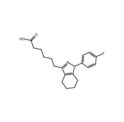 O=C(O)CCCCCc1nn(-c2ccc(F)cc2)c2c1CCCC2